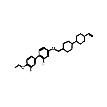 C=CC1CCC(C2CCC(COc3ccc(-c4ccc(OCC)c(F)c4)c(F)c3)CC2)CC1